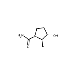 C[C@@H]1[C@@H](O)CCN1C(N)=O